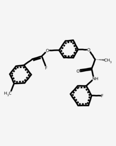 Cc1ccc(C=C(F)Oc2ccc(O[C@H](C)C(=O)Nc3ccccc3F)cc2)cc1